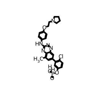 Cc1cc(-c2cc(O[PH](=O)O)ccc2Cl)cc2nnc(Nc3ccc(OCCN4CCCC4)cc3)nc12